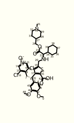 COc1ccc([C@H](Cc2c(Cl)c[n+]([O-])cc2Cl)c2cc(CNC(C(=O)OCC3CCN(C)CC3)C3CCCCC3)sc2C(=O)O)cc1OC